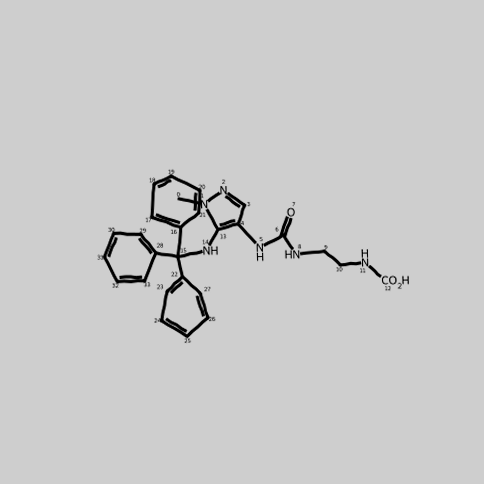 Cn1ncc(NC(=O)NCCNC(=O)O)c1NC(c1ccccc1)(c1ccccc1)c1ccccc1